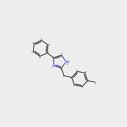 Cc1ccc(Cc2nc(-c3ccccc3)c[nH]2)cc1